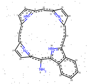 Nc1c2nc(cc3ccc(cc4nc(cc5[nH]c1c1ccccc51)C=C4)[nH]3)C=C2